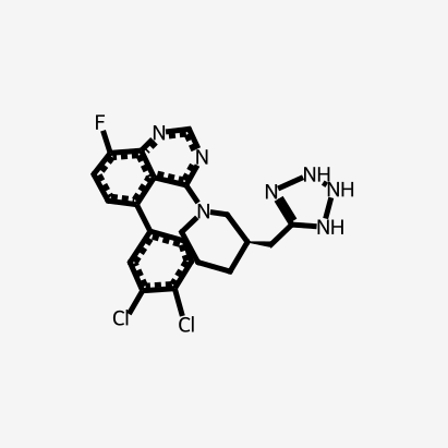 Fc1ccc(-c2ccc(Cl)c(Cl)c2)c2c(N3CCC[C@H](CC4=NNNN4)C3)ncnc12